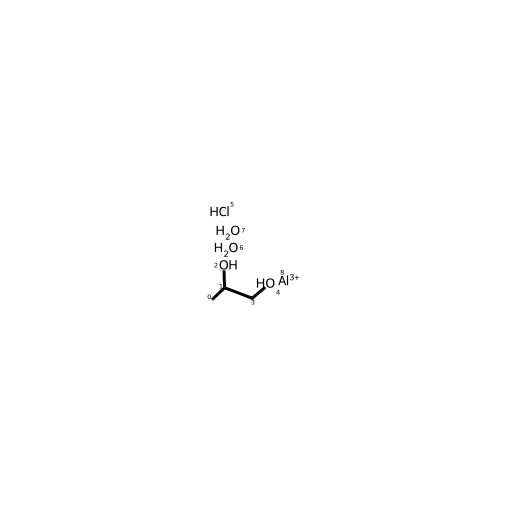 CC(O)CO.Cl.O.O.[Al+3]